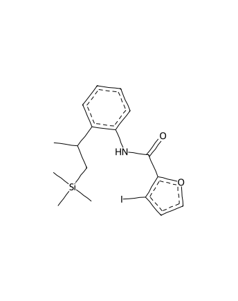 CC(C[Si](C)(C)C)c1ccccc1NC(=O)c1occc1I